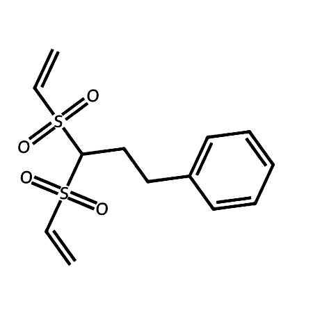 C=CS(=O)(=O)C(CCc1ccccc1)S(=O)(=O)C=C